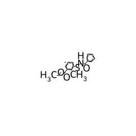 CCOC(=O)c1c[c]cc(SNC(=O)c2ccccc2)c1C